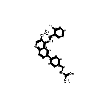 C[C@@H](Nc1c(Cl)cnc2ccc(-c3ccc(CNC(N)=O)cc3)cc12)c1ccccc1F